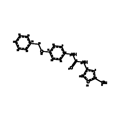 CC(C)(C)c1cc(NC(=O)Nc2ccc(OCc3ccccc3)cc2)no1